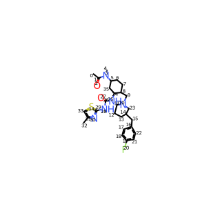 CC(=O)N(C)C1CCC(CN2CCCC(Cc3ccc(F)cc3)C2)C(NC(=O)Nc2nc(C)cs2)C1